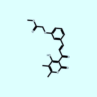 COC(=O)COc1cccc(/C=C/C(=O)c2c(O)c(C)c(C)oc2=O)c1